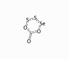 O=c1oss[se]o1